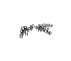 COCc1nc(N2CCC(C3CCCN(c4ccc(NC(=O)c5nc(N6C7CCC6COC7)oc5C)cc4F)C3)C2)oc1C(=O)Nc1ccc(N2CCCCC2)c(F)c1